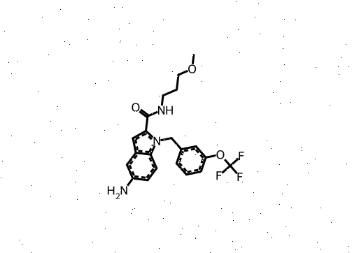 COCCCNC(=O)c1cc2cc(N)ccc2n1Cc1cccc(OC(F)(F)F)c1